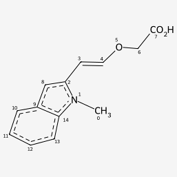 Cn1c(C=COCC(=O)O)cc2ccccc21